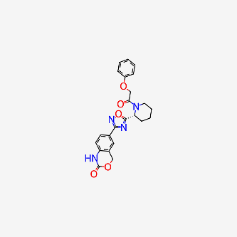 O=C1Nc2ccc(-c3noc([C@H]4CCCCN4C(=O)COc4ccccc4)n3)cc2CO1